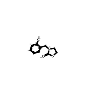 O=C1SCCN1Cc1ccccc1Cl